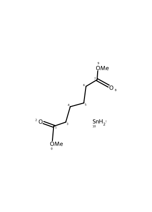 COC(=O)CCCCC(=O)OC.[SnH2]